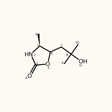 C[C@@H]1NC(=O)OC1CC(C)(C)O